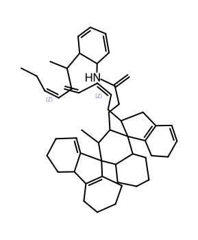 C=C/C=C\CC1CC2=C(CCC=C2)C12C(CCC(=C)NC1C=CC=CC1C(C)C/C=C\CC)C(C)C1(C3=CCCCC3C3=C1CCCC3)C1CCCCC12